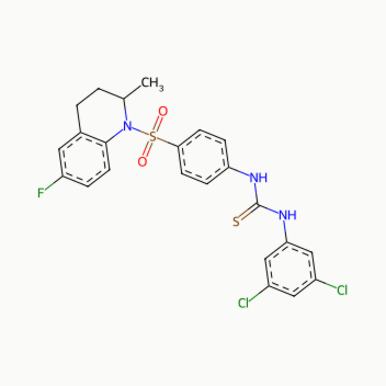 CC1CCc2cc(F)ccc2N1S(=O)(=O)c1ccc(NC(=S)Nc2cc(Cl)cc(Cl)c2)cc1